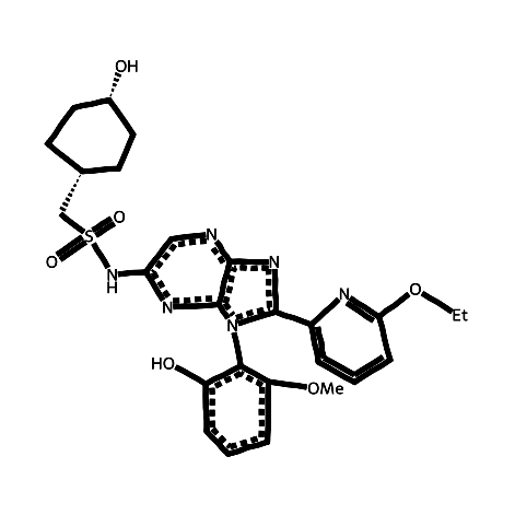 CCOC1=NC(c2nc3ncc(NS(=O)(=O)C[C@H]4CC[C@@H](O)CC4)nc3n2-c2c(O)cccc2OC)=C=C=C1